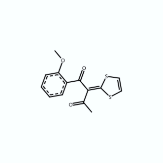 COc1ccccc1C(=O)C(C(C)=O)=C1SC=CS1